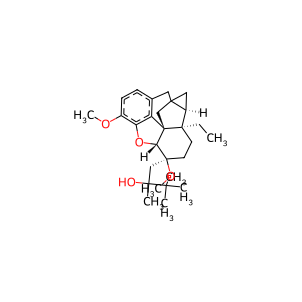 CC[C@]12CC[C@@](CC(C)(O)C(C)(C)C)(OC)[C@@H]3Oc4c(OC)ccc5c4[C@@]31CC1(C5)C[C@H]12